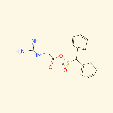 N=C(N)NCC(=O)O[S@@](=O)C(c1ccccc1)c1ccccc1